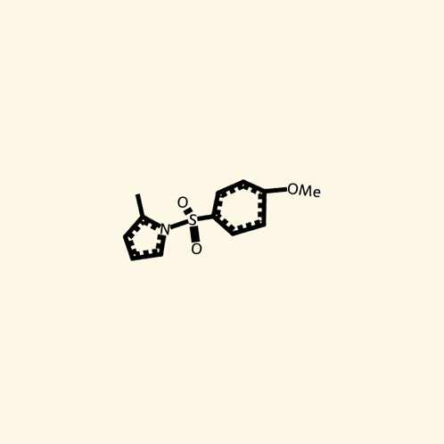 COc1ccc(S(=O)(=O)n2cccc2C)cc1